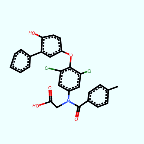 Cc1ccc(C(=O)N(CC(=O)O)c2cc(Cl)c(Oc3ccc(O)c(-c4ccccc4)c3)c(Cl)c2)cc1